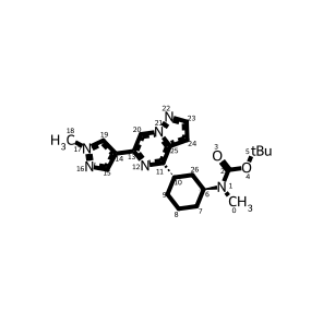 CN(C(=O)OC(C)(C)C)[C@H]1CCC[C@H](c2nc(-c3cnn(C)c3)cn3nccc23)C1